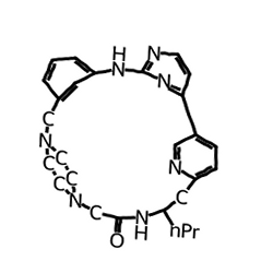 CCCC1Cc2ccc(cn2)-c2ccnc(n2)Nc2cccc(c2)CN2CCN(CC2)CC(=O)N1